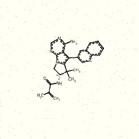 C=C(C)C(=O)N[C@@H]1Cn2c(c(-c3cnc4ccccc4c3)c3c(N)ncnc32)C1(C)C